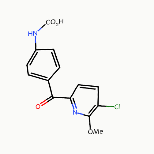 COc1nc(C(=O)c2ccc(NC(=O)O)cc2)ccc1Cl